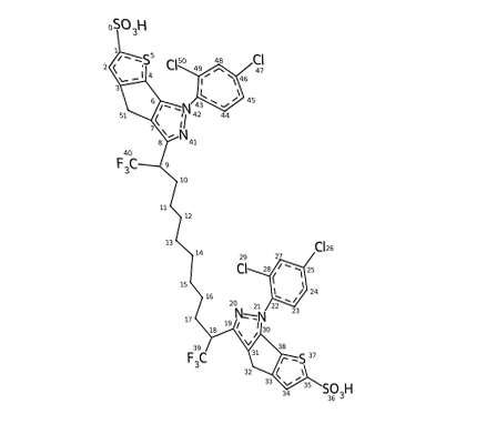 O=S(=O)(O)c1cc2c(s1)-c1c(c(C(CCCCCCCCC(c3nn(-c4ccc(Cl)cc4Cl)c4c3Cc3cc(S(=O)(=O)O)sc3-4)C(F)(F)F)C(F)(F)F)nn1-c1ccc(Cl)cc1Cl)C2